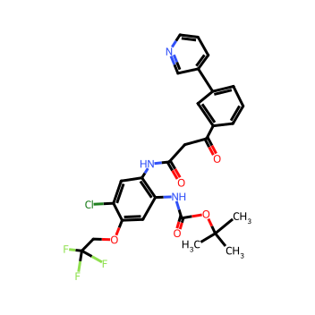 CC(C)(C)OC(=O)Nc1cc(OCC(F)(F)F)c(Cl)cc1NC(=O)CC(=O)c1cccc(-c2cccnc2)c1